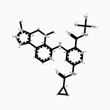 [2H]C([2H])([2H])NC(=O)c1nnc(NC(=O)C2CC2)cc1Nc1nccc2c1N(C)Cc1c-2nnn1C